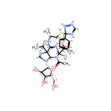 CC(=O)N1C2N([C@@H]3O[C@H](CO)C(O)C3O)C=NC2(C(C)=O)C(N[C@H](C)CSC2(c3ccccc3)N=CN=N2)=NC1(Cl)C(C)=O